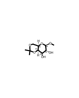 CO[C@@H]1O[C@@H]2COC(C)(C)O[C@@H]2[C@H](O)[C@H]1O